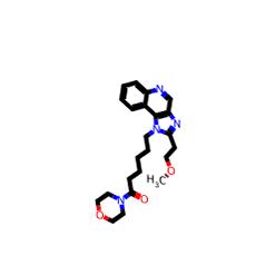 COCCc1nc2cnc3ccccc3c2n1CCCCCC(=O)N1CCOCC1